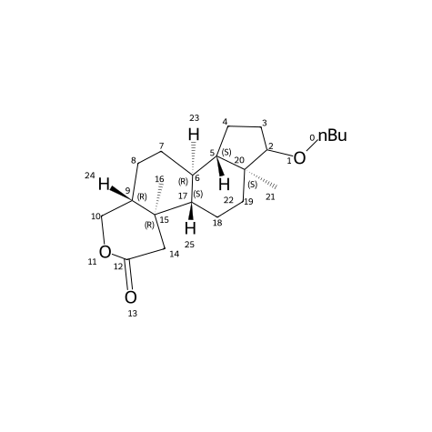 CCCCOC1CC[C@H]2[C@@H]3CC[C@H]4COC(=O)C[C@]4(C)[C@H]3CC[C@]12C